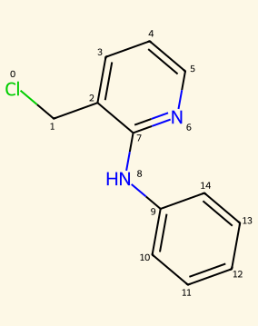 ClCc1cccnc1Nc1ccccc1